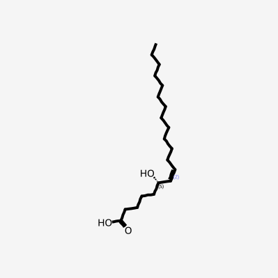 CCCCCCCCCCCC/C=C\[C@@H](O)CCCCC(=O)O